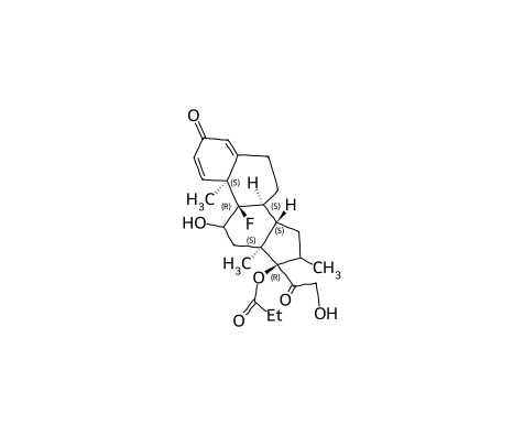 CCC(=O)O[C@]1(C(=O)CO)C(C)C[C@H]2[C@@H]3CCC4=CC(=O)C=C[C@]4(C)[C@@]3(F)C(O)C[C@@]21C